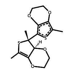 CC1=C2OCCO[C@@H]2[C@@](C)(c2sc(C)c3c2OCCO3)S1